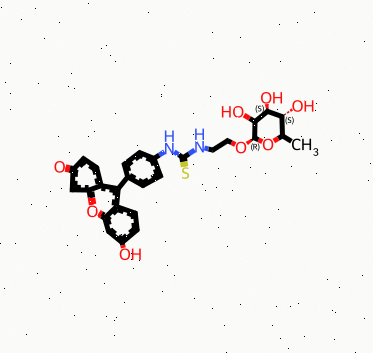 CC1O[C@@H](OCCNC(=S)Nc2ccc(-c3c4ccc(=O)cc-4oc4cc(O)ccc34)cc2)C(O)[C@@H](O)[C@@H]1O